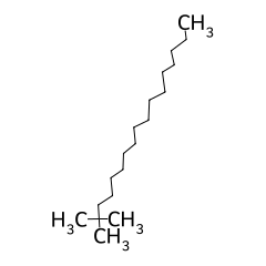 CCCCCCCCCCCCCCCC(C)(C)C